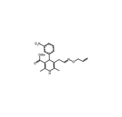 C=CCON=CCC1=C(C)NC(C)=C(C(=O)OC)C1c1cccc([N+](=O)[O-])c1